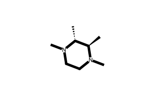 C[C@@H]1[C@@H](C)N(C)CCN1C